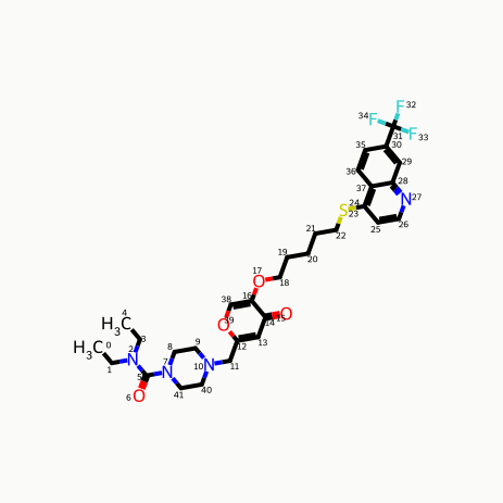 CCN(CC)C(=O)N1CCN(Cc2cc(=O)c(OCCCCCSc3ccnc4cc(C(F)(F)F)ccc34)co2)CC1